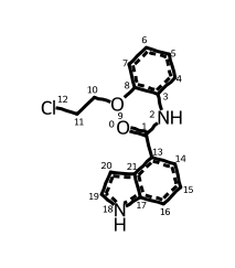 O=C(Nc1ccccc1OCCCl)c1cccc2[nH]ccc12